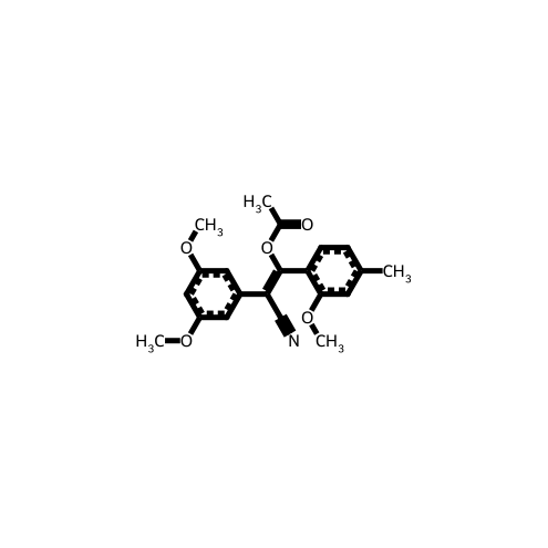 COc1cc(OC)cc(C(C#N)=C(OC(C)=O)c2ccc(C)cc2OC)c1